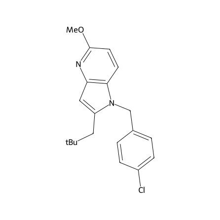 COc1ccc2c(cc(CC(C)(C)C)n2Cc2ccc(Cl)cc2)n1